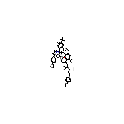 CCOc1cc(C(C)(C)C)ncc1/C(=N/C(C)(C)C1C=CC(Cl)=CC1)N(Cc1ccc(Cl)cc1)C(=O)N1CCC(CC(=O)NCCc2ccc(F)cc2)CC1